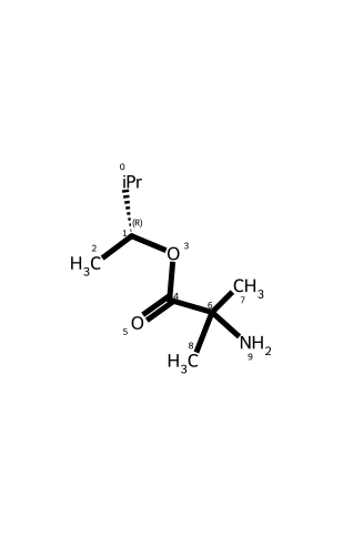 CC(C)[C@@H](C)OC(=O)C(C)(C)N